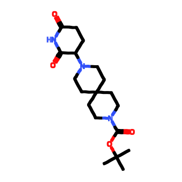 CC(C)(C)OC(=O)N1CCC2(CC1)CCN(C1CCC(=O)NC1=O)CC2